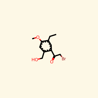 CCc1cc(C(=O)CBr)c(CO)cc1OC